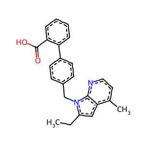 CCc1cc2c(C)ccnc2n1Cc1ccc(-c2ccccc2C(=O)O)cc1